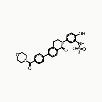 CS(=O)(=O)Nc1cc(N2CCc3cc(-c4ccc(C(=O)N5CCOCC5)cc4)ccc3C2=O)ccc1O